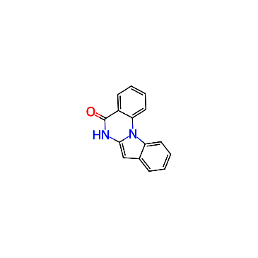 O=c1[nH]c2cc3ccccc3n2c2ccccc12